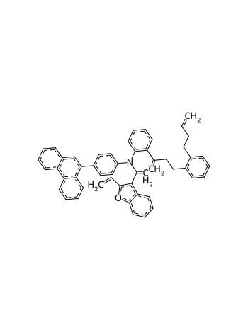 C=CCCc1ccccc1CCC(=C)c1ccccc1N(C(=C)c1c(C=C)oc2ccccc12)c1ccc(-c2cc3ccccc3c3ccccc23)cc1